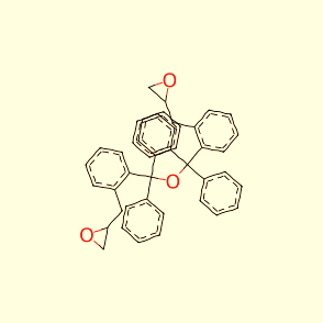 c1ccc(C(OC(c2ccccc2)(c2ccccc2)c2ccccc2CC2CO2)(c2ccccc2)c2ccccc2CC2CO2)cc1